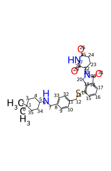 CC1(C)CCC(NCc2ccc(CSc3cccc4c3CN(C3CCC(=O)NC3=O)C4=O)cc2)CC1